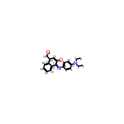 CCN(CC)c1ccc2c(c1)OC1=CC(C=O)c3ccccc3C1=N2